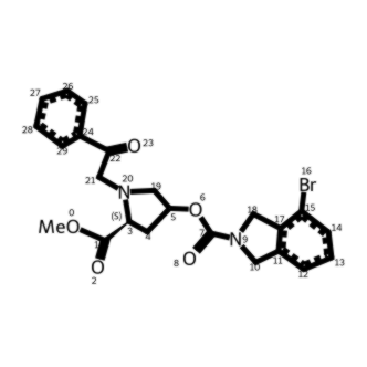 COC(=O)[C@@H]1CC(OC(=O)N2Cc3cccc(Br)c3C2)CN1CC(=O)c1ccccc1